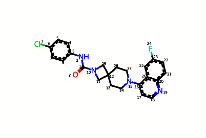 O=C(Nc1ccc(Cl)cc1)N1CC2(CCN(c3ccnc4ccc(F)cc34)CC2)C1